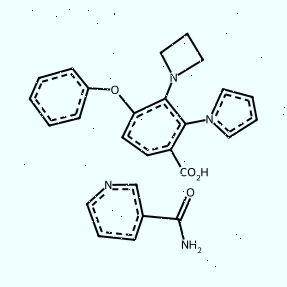 NC(=O)c1cccnc1.O=C(O)c1ccc(Oc2ccccc2)c(N2CCC2)c1-n1cccc1